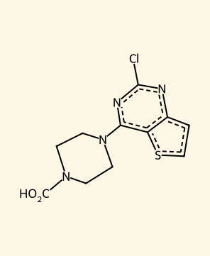 O=C(O)N1CCN(c2nc(Cl)nc3ccsc23)CC1